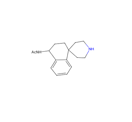 CC(=O)NC1CCC2(CCNCC2)c2ccccc21